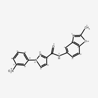 Cc1nc2cc(NC(=O)c3ccn(-c4cccc([N+](=O)[O-])c4)n3)ccc2o1